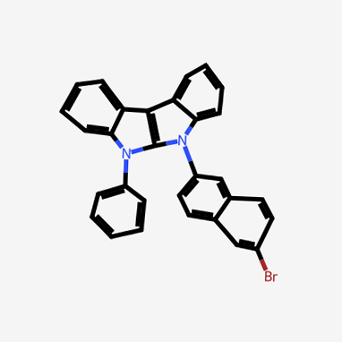 Brc1ccc2cc(-n3c4ccccc4c4c5ccccc5n(-c5ccccc5)c43)ccc2c1